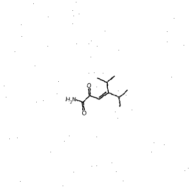 CC(C)C(=CC(=O)C(N)=O)C(C)C